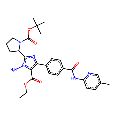 CCOC(=O)c1c(-c2ccc(C(=O)Nc3ccc(C)cn3)cc2)nc(C2CCCN2C(=O)OC(C)(C)C)n1N